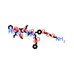 CCCO[C@H](CC(C(C)C)N(COCC)C(=O)[C@@H](NC(=O)[C@H]1CCCCN1C)[C@@H](C)CC)c1nc(C(=O)N[C@@H](Cc2ccc(OCCOCCOCCN)cc2)C[C@H](C)C(=O)OCc2ccccc2)cs1